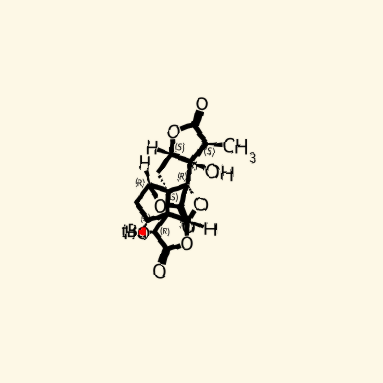 C[C@@H]1C(=O)O[C@H]2C[C@@]34[C@H]5C[C@@H](C(C)(C)C)C36[C@@H](OC(=O)[C@@H]6O)O[C@@]4(C(=O)O5)[C@]21O